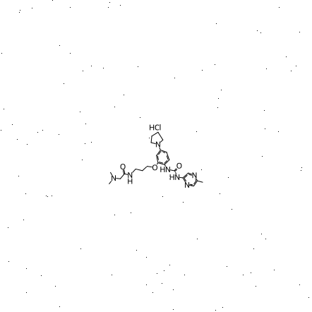 Cc1cnc(NC(=O)Nc2ccc(N3CCCC3)cc2OCCCNC(=O)CN(C)C)cn1.Cl